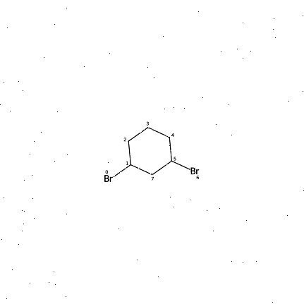 BrC1CCCC(Br)C1